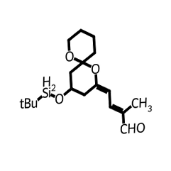 CC(C=O)=CC=C1CC(O[SiH2]C(C)(C)C)CC2(CCCCO2)O1